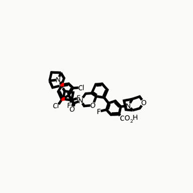 O=C(O)c1cc(F)c(-c2cccc3c2OCN(C(=O)c2c(Cl)cc(N4C5CC4CN(C4CC(F)(F)C4)C5)cc2Cl)C3)cc1N1C2CCC1COC2